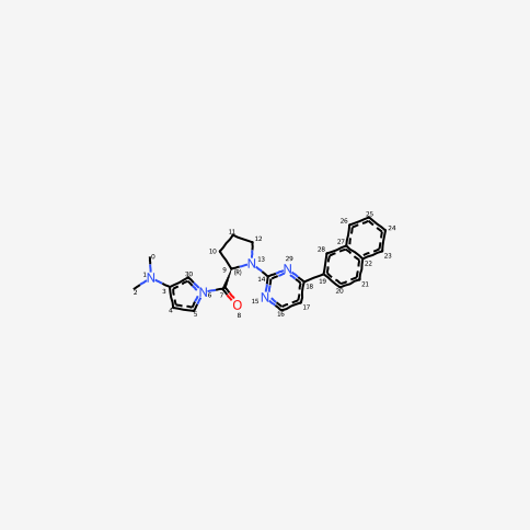 CN(C)c1ccn(C(=O)[C@H]2CCCN2c2nccc(-c3ccc4ccccc4c3)n2)c1